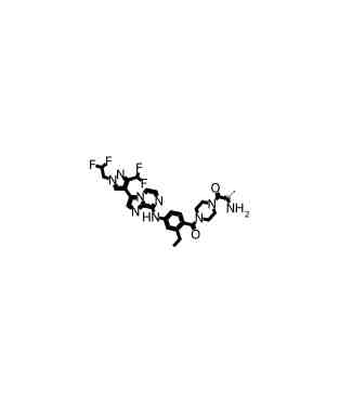 CCc1cc(Nc2nccn3c(-c4cn(CC(F)F)nc4C(F)F)cnc23)ccc1C(=O)N1CCN(C(=O)[C@H](C)N)CC1